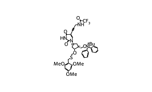 COc1cc(OC)c(CSCOC2C[C@H](n3cc(C#CCNC(=O)C(F)(F)F)c(=O)[nH]c3=O)C[C@@H]2CO[Si](c2ccccc2)(c2ccccc2)C(C)(C)C)c(OC)c1